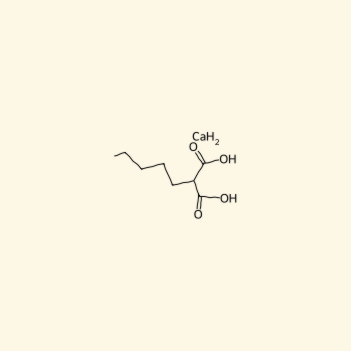 CCCCCC(C(=O)O)C(=O)O.[CaH2]